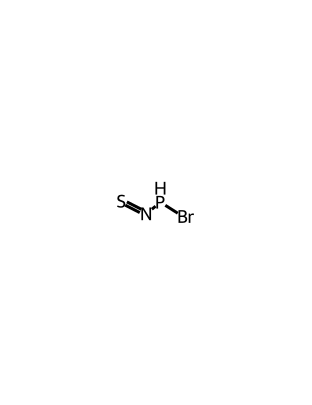 S=NPBr